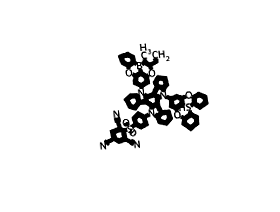 C=CC1=C(C)B2c3ccccc3Oc3cc(-n4c5ccccc5c5c6c(c7ccccc7n6-c6ccc(S(=O)(=O)c7c(C#N)cc(C#N)cc7C#N)cc6)c6c(c7ccccc7n6-c6cc7c8c(c6)Oc6ccccc6[SH]8c6ccccc6O7)c54)cc(c32)O1